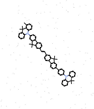 Cc1cccc2c1C(C)(C)c1ccccc1N2c1ccc2c(c1)C(C)(C)c1cc(/C=C/c3ccc4c(c3)C(C)(C)c3cc(-c5ccc(N6c7ccccc7C(C)(C)c7ccccc76)cc5)ccc3-4)ccc1-2